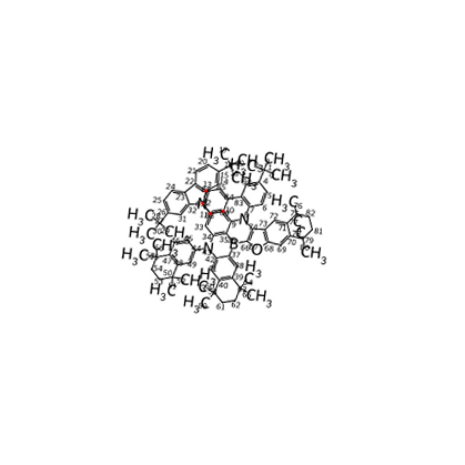 CC(C)(C)c1ccc(N2c3cc(-n4c5cc(C(C)(C)C)ccc5c5ccc(C(C)(C)C)cc54)cc4c3B(c3cc5c(cc3N4c3ccc4c(c3)C(C)(C)CCC4(C)C)C(C)(C)CCC5(C)C)c3oc4cc5c(cc4c32)C2(C)CCC5(C)CC2)c(-c2ccccc2)c1